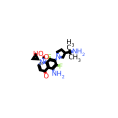 CC(C)(N)C1CCN(c2c(F)c(N)c3c(c2F)[N@+](C(=O)O)(C2CC2)C=CC3=O)C1